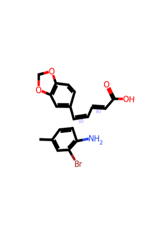 Cc1ccc(N)c(Br)c1.O=C(O)/C=C/C=C\c1ccc2c(c1)OCO2